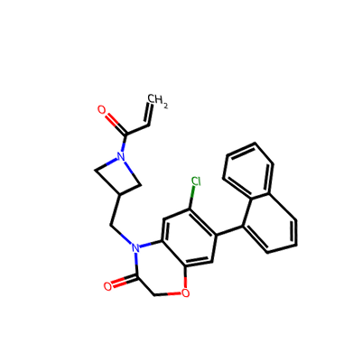 C=CC(=O)N1CC(CN2C(=O)COc3cc(-c4cccc5ccccc45)c(Cl)cc32)C1